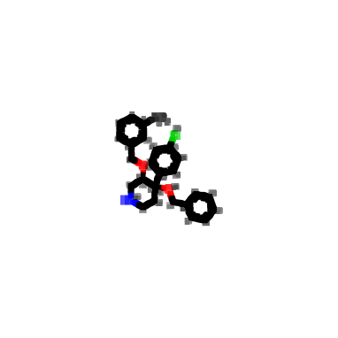 O=[N+]([O-])c1cccc(CO[C@H]2CNCC[C@@]2(OCc2ccccc2)c2ccc(Cl)cc2)c1